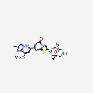 COc1cc(-c2cc(=O)n3cc([C@@H]4C[C@H]5CNC[C@@H](C4)O5)sc3n2)nn2cc(C)nc12